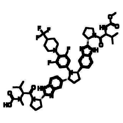 COC(=O)N[C@H](C(=O)N1CCC[C@H]1c1nc2cc([C@H]3CC[C@H](c4ccc5[nH]c([C@@H]6CCCN6C(=O)[C@H](C(C)C)N(C)C(=O)O)nc5c4)N3c3cc(F)c(N4CCC(C(F)(F)F)CC4)c(F)c3)ccc2[nH]1)C(C)C